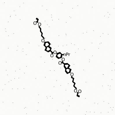 C=CC(=O)OCCCCCCOc1ccc2cc(C(=O)Oc3ccc(OC(=O)c4ccc5cc(OCCCCCCOC(=O)C=C)ccc5c4)c(CCC)c3)ccc2c1